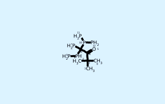 CC(C)(C)C(=O)C(P)(PP)P(P)P